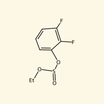 CCOS(=O)Oc1cccc(F)c1F